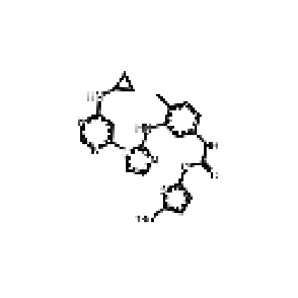 Cc1ccc(NC(=O)Oc2ccc(C(C)(C)C)s2)cc1Nc1nccn1-c1cc(NC2CC2)ncn1